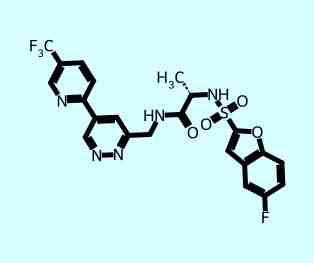 C[C@H](NS(=O)(=O)c1cc2cc(F)ccc2o1)C(=O)NCc1cc(-c2ccc(C(F)(F)F)cn2)cnn1